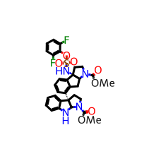 COC(=O)N1CC[C@]2(c3cccc4c3CC3N(C(=O)OC)CC[C@@]43NS(=O)(=O)Oc3c(F)cccc3F)c3ccccc3NC12